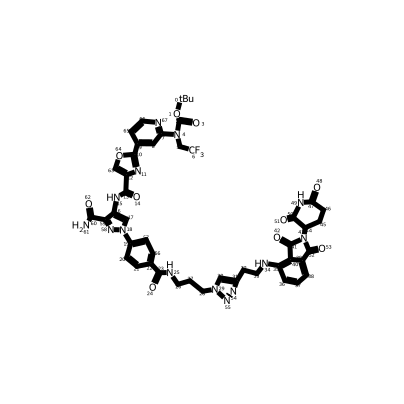 CC(C)(C)OC(=O)N(CC(F)(F)F)c1cc(-c2nc(C(=O)Nc3cn(-c4ccc(C(=O)NCCCn5cc(CCNc6cccc7c6C(=O)N(C6CCC(=O)NC6=O)C7=O)nn5)cc4)nc3C(N)=O)co2)ccn1